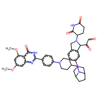 COc1cc(OC)c2c(=O)[nH]c(-c3ccc(N4CCC(CN5C6CCC5CN(c5ccc7c(c5)C(C(=O)C=O)N(C5CCC(=O)NC5=O)C7)C6)CC4)cc3)nc2c1